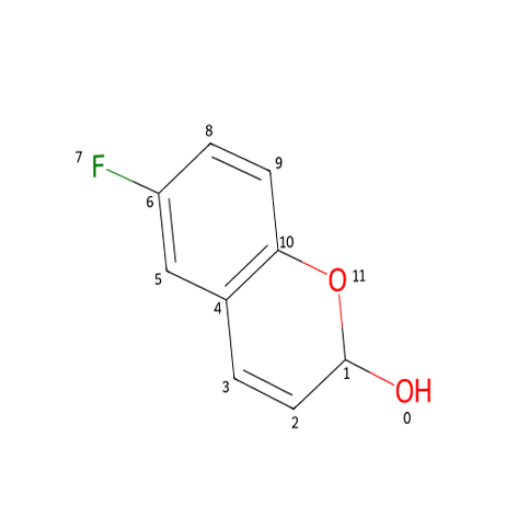 OC1C=Cc2cc(F)ccc2O1